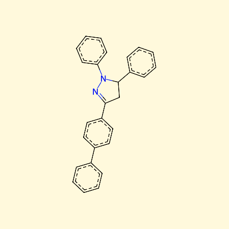 c1ccc(-c2ccc(C3=NN(c4ccccc4)C(c4ccccc4)C3)cc2)cc1